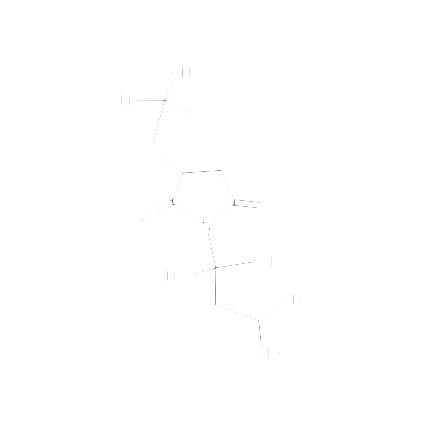 CC(C=O)CC(C)(C)N1C(=O)CC(SC(C)(C)C(C)C)C1=O